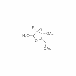 CC(=O)OCC1OC(C)C2(F)C[C@@]12OC(C)=O